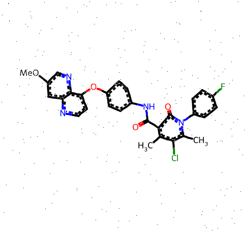 COc1cnc2c(Oc3ccc(NC(=O)c4c(C)c(Cl)c(C)n(-c5ccc(F)cc5)c4=O)cc3)ccnc2c1